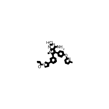 C=CC(=O)N1CC=C(c2cccc(-c3c(-c4ccc(Oc5cccc(C)n5)cc4)c4c(N)ncnc4n3C)c2)C1.Cl